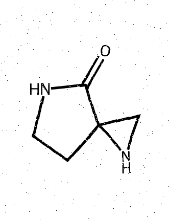 O=C1NCCC12CN2